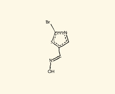 O/N=C/c1cnc(Br)s1